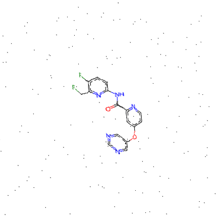 O=C(Nc1ccc(F)c(CF)n1)c1cc(Oc2cncnc2)ccn1